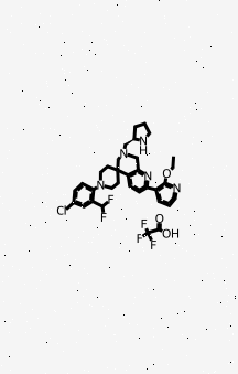 CCOc1ncccc1-c1ccc2c(n1)CN(C[C@H]1CCCN1)CC21CCN(c2ccc(Cl)cc2C(F)F)CC1.O=C(O)C(F)(F)F